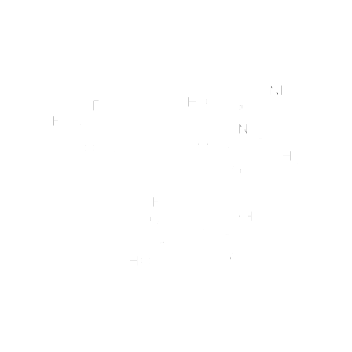 C[C@@H]1CNC[C@H](C)N1C(=O)OCc1ccc(OC(F)F)cc1F.O=C(O)C=CC(=O)O